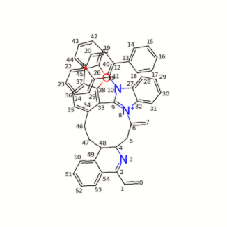 C=CC1=NC2CC(=C)[n+]3c(n(-c4c(-c5ccccc5)ccc5ccccc45)c4ccccc43)-c3c(ccc4c3oc3ccccc34)CCC2c2ccccc21